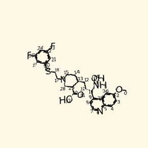 COc1ccc2nccc([C@H](CC[C@@H]3CCN(CCSc4cc(F)cc(F)c4)C[C@@H]3C(=O)O)NO)c2c1